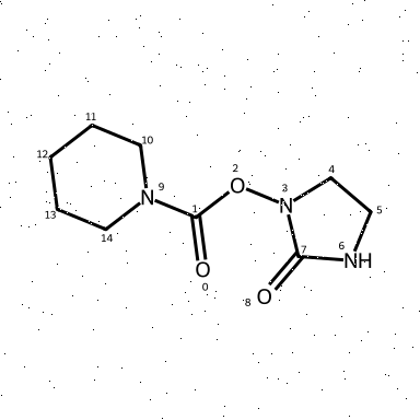 O=C(ON1CCNC1=O)N1CCCCC1